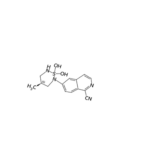 C[C@H]1CNS(O)(O)N(c2ccc3c(C#N)nccc3c2)C1